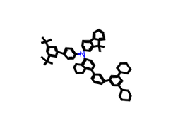 CC(C)(C)c1cc(-c2ccc(N(c3ccc4c(c3)C(C)(C)c3ccccc3-4)c3ccc(-c4cccc(-c5cc(C6CCCCC6)cc(C6CCCCC6)c5)c4)c4c3CCCC4)cc2)cc(C(C)(C)C)c1